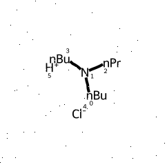 CCCCN(CCC)CCCC.[Cl-].[H+]